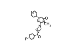 Cn1c(N2CC3CC2CN3C(=O)c2ccc(F)cc2)nc(-c2ccncc2)cc1=O